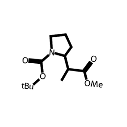 COC(=O)C(C)C1CCCN1C(=O)OC(C)(C)C